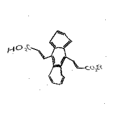 CCOC(=O)C=Cc1c2ccccc2c(C=CC(=O)O)c2ccccc12